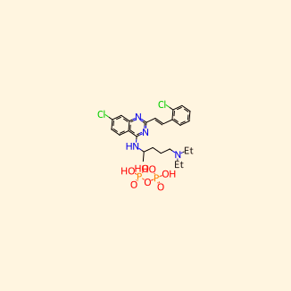 CCN(CC)CCCC(C)Nc1nc(C=Cc2ccccc2Cl)nc2cc(Cl)ccc12.O=P(O)(O)OP(=O)(O)O